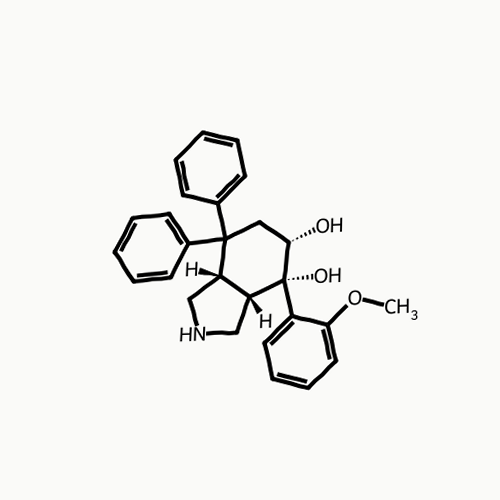 COc1ccccc1[C@@]1(O)[C@@H]2CNC[C@@H]2C(c2ccccc2)(c2ccccc2)C[C@@H]1O